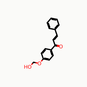 O=C(C=Cc1ccccc1)c1ccc(OCO)cc1